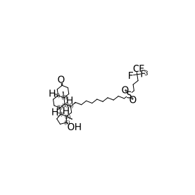 C[C@]12CCC(=O)C[C@@H]1CC[C@@H]1[C@@H]2[C@@H](CCCCCCCCCCS(=O)(=O)CCCC(F)(F)C(F)(F)F)C[C@]2(C)[C@@H](O)CC[C@@H]12